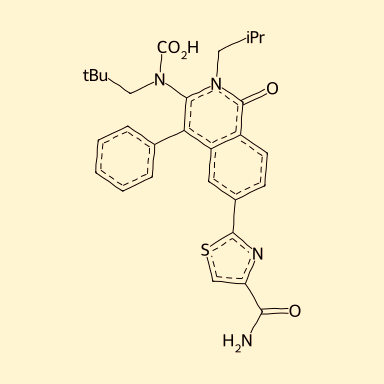 CC(C)Cn1c(N(CC(C)(C)C)C(=O)O)c(-c2ccccc2)c2cc(-c3nc(C(N)=O)cs3)ccc2c1=O